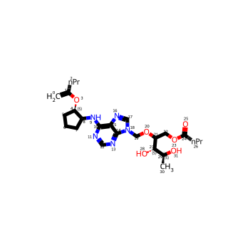 C=C(CCC)O[C@H]1CCCC1Nc1ncnc2c1ncn2COC(COC(=O)CCC)[C@@H](O)[C@H](C)O